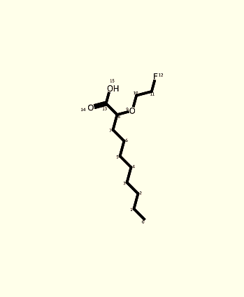 CCCCCCCCC(OCCF)C(=O)O